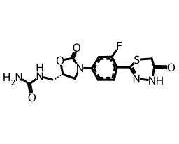 NC(=O)NC[C@H]1CN(c2ccc(C3=NNC(=O)CS3)c(F)c2)C(=O)O1